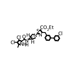 CCOC(=O)c1sc(N2C[C@@H]3[C@H](C2)[C@@H]3NC(=O)c2[nH]c(C)c(Cl)c2Cl)nc1Cc1cccc(-c2cccc(Cl)c2)c1